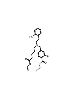 CCOC(=O)CCCCN(CCc1ccccc1O)Cc1ccc(C(=O)OCC)c(Br)c1